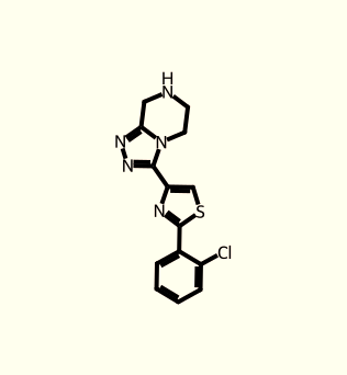 Clc1ccccc1-c1nc(-c2nnc3n2CCNC3)cs1